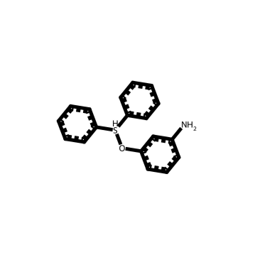 Nc1cccc(O[SH](c2ccccc2)c2ccccc2)c1